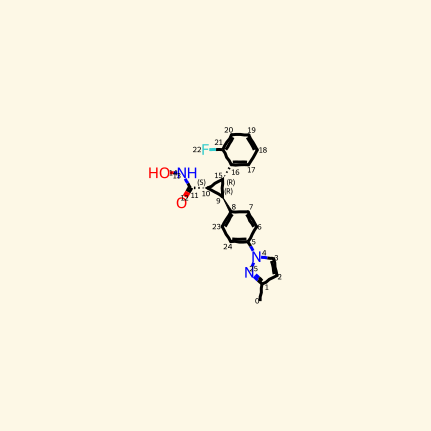 Cc1ccn(-c2ccc([C@H]3[C@H](C(=O)NO)[C@@H]3c3ccccc3F)cc2)n1